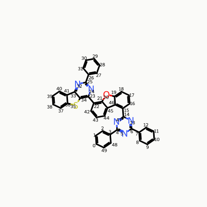 c1ccc(-c2nc(-c3ccccc3)nc(-c3cccc4oc5c(-c6nc(-c7ccccc7)nc7c6sc6ccccc67)cccc5c34)n2)cc1